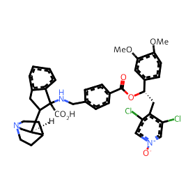 COc1ccc([C@H](Cc2c(Cl)c[n+]([O-])cc2Cl)OC(=O)c2ccc(CNC3(C(=O)O)c4ccccc4CC3[C@@H]3CN4CCC3CC4)cc2)cc1OC